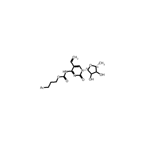 C=Cc1cn([C@@H]2O[C@H](C)C(O)C2O)c(=O)nc1NC(=O)OCCCC(C)=O